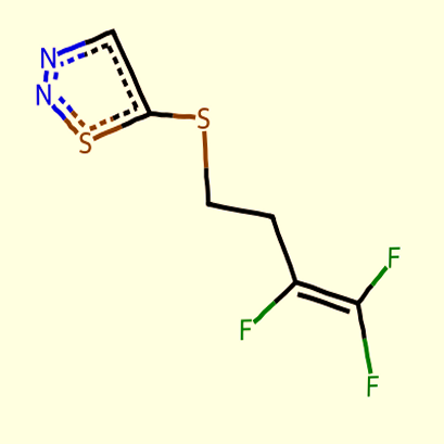 FC(F)=C(F)CCSc1cnns1